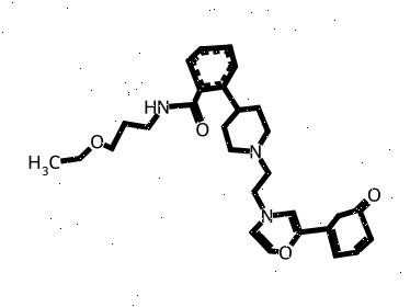 CCOCCCNC(=O)c1ccccc1C1CCN(CCN2C=COC(C3=CC=CC(=O)C3)=C2)CC1